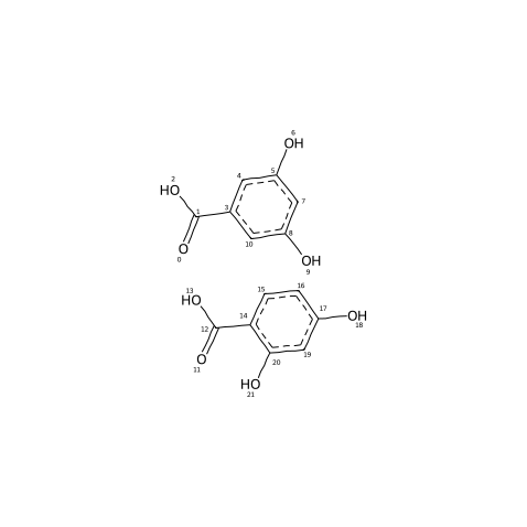 O=C(O)c1cc(O)cc(O)c1.O=C(O)c1ccc(O)cc1O